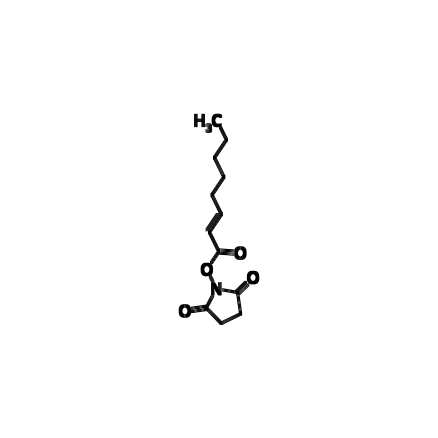 CCCCCC=CC(=O)ON1C(=O)CCC1=O